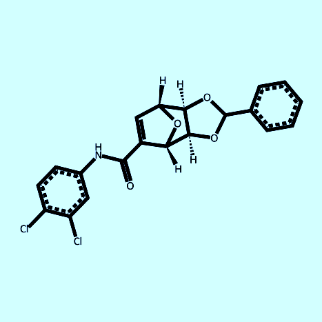 O=C(Nc1ccc(Cl)c(Cl)c1)C1=C[C@H]2O[C@@H]1[C@@H]1OC(c3ccccc3)O[C@@H]12